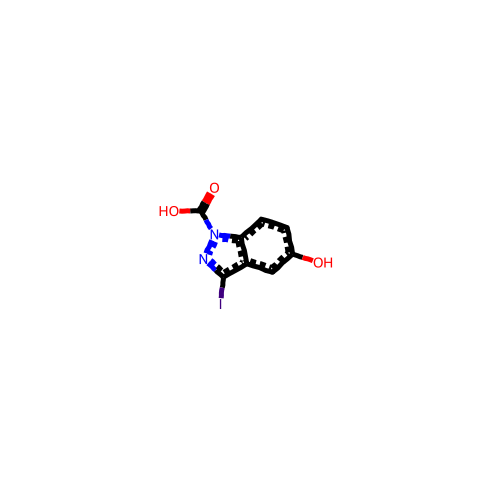 O=C(O)n1nc(I)c2cc(O)ccc21